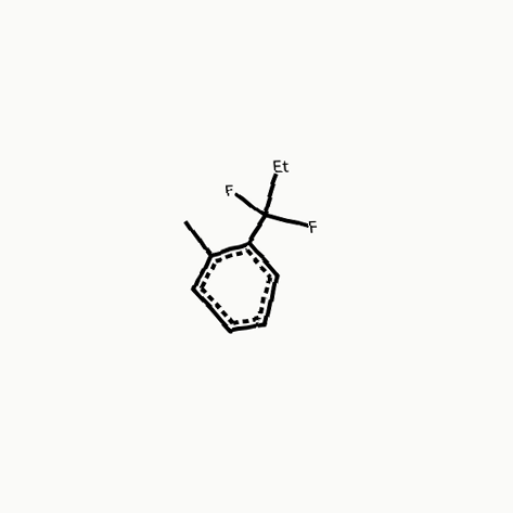 CCC(F)(F)c1ccccc1C